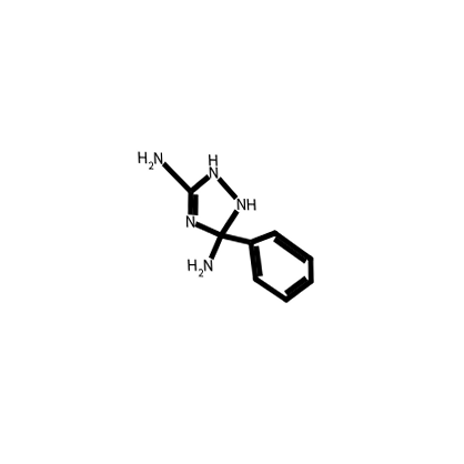 NC1=NC(N)(c2ccccc2)NN1